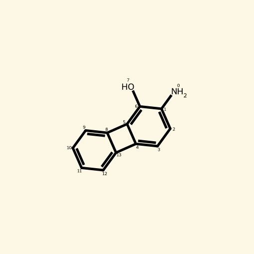 Nc1ccc2c(c1O)-c1ccccc1-2